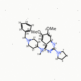 COc1cc2nc(N3CCCC3)nc(N(C)C3CCN(Cc4ccccc4)CC3)c2cc1OC